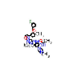 C=CC(=O)Nc1cc(Nc2cc(N3OCCC3c3ccc(C)c(OCc4cccc(F)c4)c3)ncn2)c(OC)cc1N1CCN(C)CC1